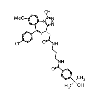 COc1ccc2c(c1)C(c1ccc(Cl)cc1)=N[C@@H](CC(=O)NCCCNC(=O)c1ccc([Si](C)(C)O)cc1)c1nnc(C)n1-2